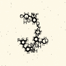 Cn1nc(C2CCC(=O)NC2=O)c2ccc(OCCN3CCN(c4ccc(C(=O)Nc5n[nH]c6ccc(Cc7cc(F)cc(F)c7)cc56)c(NC5CCOCC5)c4)CC3)cc21